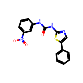 O=C(Nc1cccc([N+](=O)[O-])c1)Nc1ncc(-c2ccccc2)s1